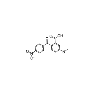 CN(C)c1ccc(C(=O)c2ccc([N+](=O)[O-])cc2)c(C(=O)O)c1